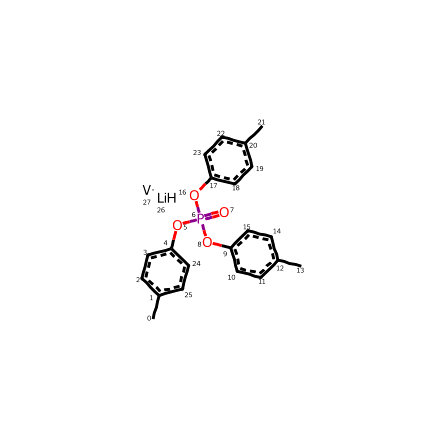 Cc1ccc(OP(=O)(Oc2ccc(C)cc2)Oc2ccc(C)cc2)cc1.[LiH].[V]